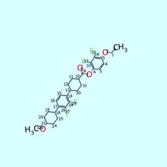 CCOc1ccc(OC(=O)C2CCC(c3ccc(C4CCC(OC)CC4)c(F)c3F)CC2)c(F)c1F